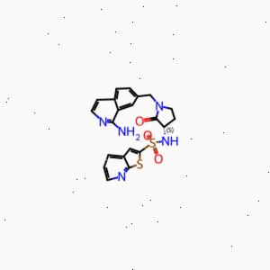 Nc1nccc2ccc(CN3CC[C@H](NS(=O)(=O)c4cc5cccnc5s4)C3=O)cc12